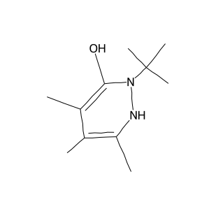 CC1=C(C)C(C)=C(O)N(C(C)(C)C)N1